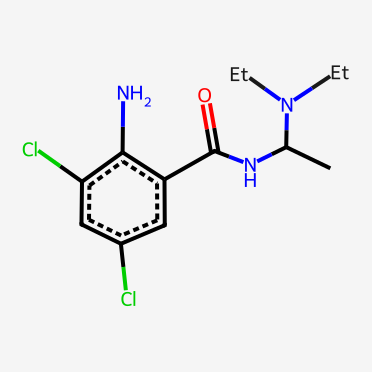 CCN(CC)C(C)NC(=O)c1cc(Cl)cc(Cl)c1N